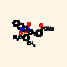 COC(=O)c1cccc(CCNC(=O)C2Cc3ccccc3CN2S(=O)(=O)c2c(C)cc(C)cc2C)c1